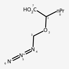 CCCC(OCN=[N+]=[N-])C(=O)O